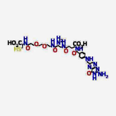 Nc1nc2ncc(CNc3ccc(C(=O)N[C@H](CCC(=O)NC[C@@H](N)C(=O)NCCOCCOCCC(=O)N[C@H](CS)C(=O)O)C(=O)O)cc3)nc2c(=O)[nH]1